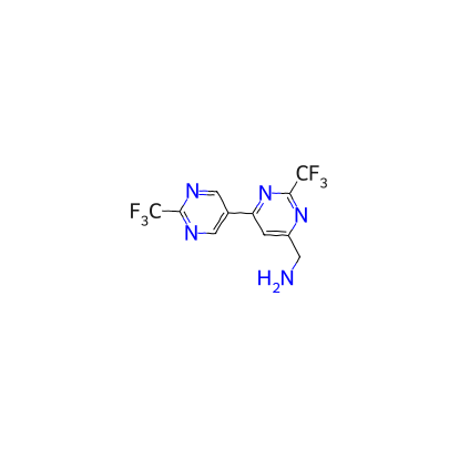 NCc1cc(-c2cnc(C(F)(F)F)nc2)nc(C(F)(F)F)n1